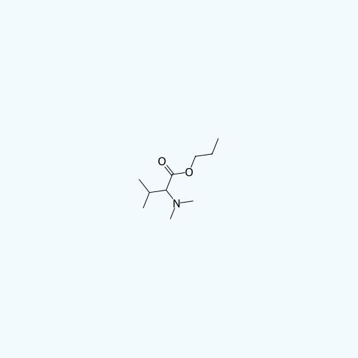 CCCOC(=O)C(C(C)C)N(C)C